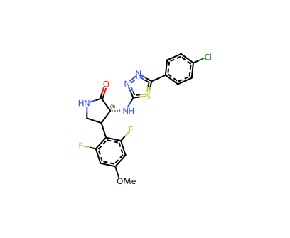 COc1cc(F)c(C2CNC(=O)[C@@H]2Nc2nnc(-c3ccc(Cl)cc3)s2)c(F)c1